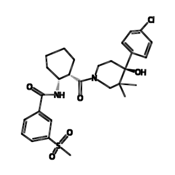 CC1(C)CN(C(=O)[C@H]2CCCC[C@H]2NC(=O)c2cccc(S(C)(=O)=O)c2)CC[C@]1(O)c1ccc(Cl)cc1